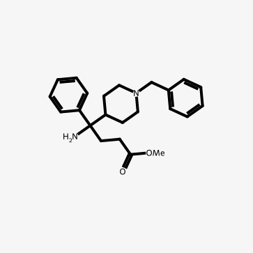 COC(=O)CCC(N)(c1ccccc1)C1CCN(Cc2ccccc2)CC1